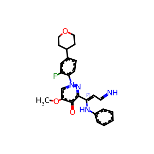 COc1cn(-c2ccc(C3CCOCC3)cc2F)nc(/C(=C/C=N)Nc2ccccc2)c1=O